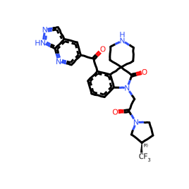 O=C(c1cnc2[nH]ncc2c1)c1cccc2c1C1(CCNCC1)C(=O)N2CC(=O)N1CC[C@@H](C(F)(F)F)C1